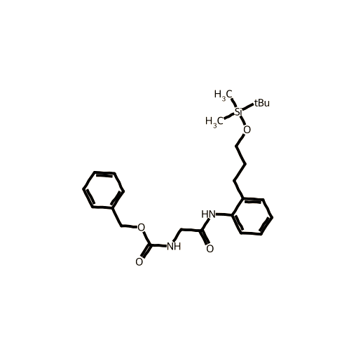 CC(C)(C)[Si](C)(C)OCCCc1ccccc1NC(=O)CNC(=O)OCc1ccccc1